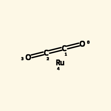 O=C=C=O.[Ru]